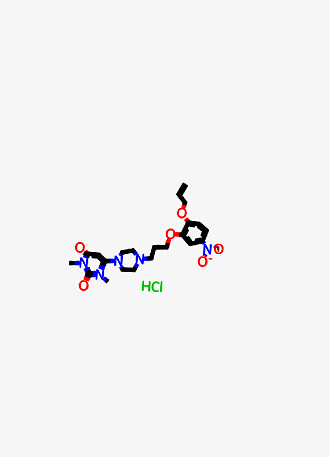 C=CCOc1ccc([N+](=O)[O-])cc1OCCCN1CCN(c2cc(=O)n(C)c(=O)n2C)CC1.Cl